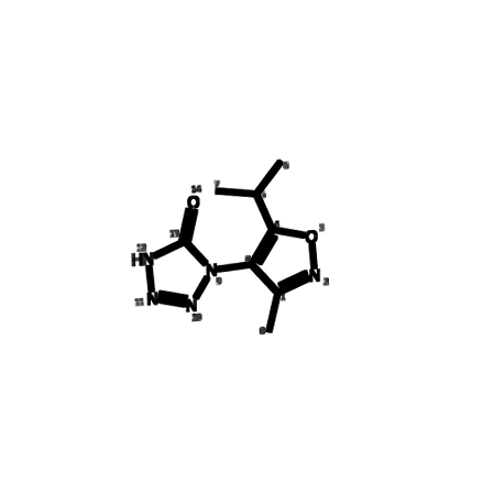 Cc1noc(C(C)C)c1-n1nn[nH]c1=O